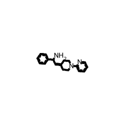 NC(C=C1CCN(c2ccccn2)CC1)c1ccccc1